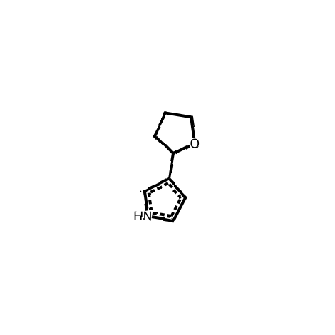 [c]1[nH]ccc1C1CCCO1